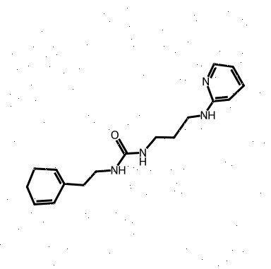 O=C(NCCCNc1ccccn1)NCCC1=CCCC=C1